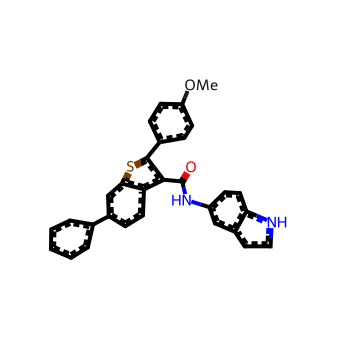 COc1ccc(-c2sc3cc(-c4ccccc4)ccc3c2C(=O)Nc2ccc3[nH]ccc3c2)cc1